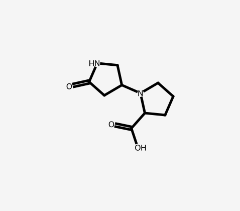 O=C1CC(N2CCCC2C(=O)O)CN1